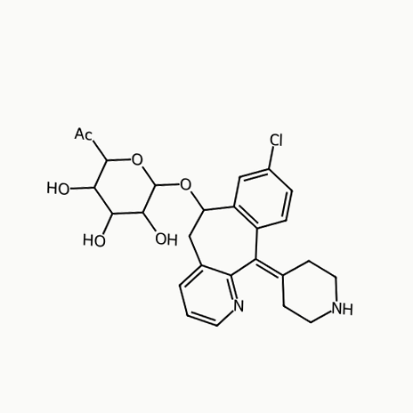 CC(=O)C1OC(OC2Cc3cccnc3C(=C3CCNCC3)c3ccc(Cl)cc32)C(O)C(O)C1O